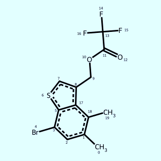 Cc1cc(Br)c2scc(COC(=O)C(F)(F)F)c2c1C